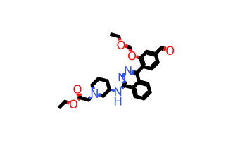 CCOCOc1cc(C=O)ccc1-c1nnc(N[C@@H]2CCCN(CC(=O)OCC)C2)c2ccccc12